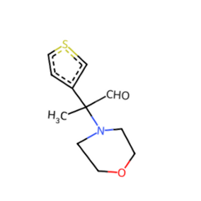 CC(C=O)(c1ccsc1)N1CCOCC1